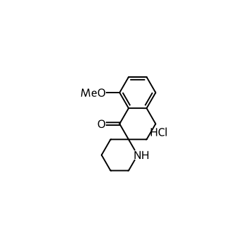 COc1cccc2c1C(=O)C1(CCCCN1)CC2.Cl